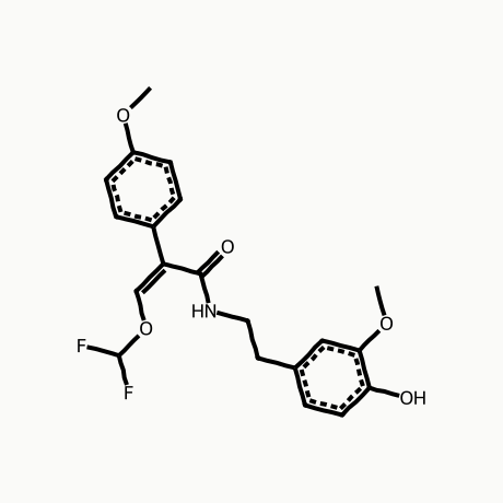 COc1ccc(C(=COC(F)F)C(=O)NCCc2ccc(O)c(OC)c2)cc1